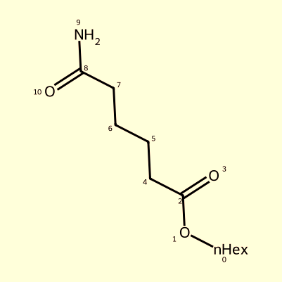 CCCCCCOC(=O)CCCCC(N)=O